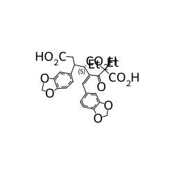 CCC(CC)(C(=O)O)C(=O)C(=Cc1ccc2c(c1)OCO2)[C@@H](C(=O)O)C(CC(=O)O)c1ccc2c(c1)OCO2